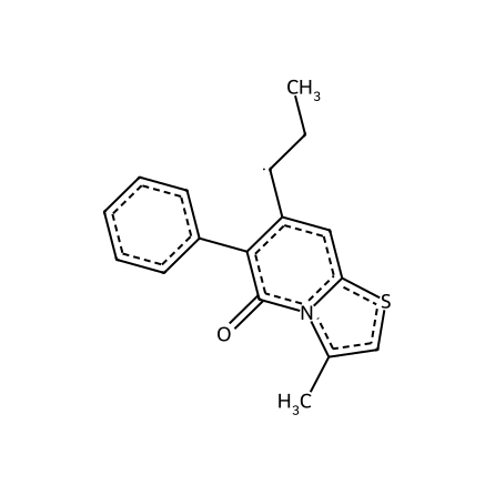 CC[CH]c1cc2scc(C)n2c(=O)c1-c1ccccc1